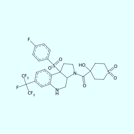 O=C(N1CCC2(S(=O)(=O)c3ccc(F)cc3)c3ccc(C(F)(C(F)(F)F)C(F)(F)F)cc3NCC12)C1(O)CCS(=O)(=O)CC1